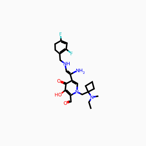 CCN(C)C1(Cn2cc(/C(N)=C/NCC3=C(F)C=C(F)CC3)c(=O)c(O)c2C=O)CCC1